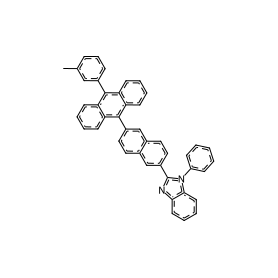 Cc1cccc(-c2c3ccccc3c(-c3ccc4cc(-c5nc6ccccc6n5-c5ccccc5)ccc4c3)c3ccccc23)c1